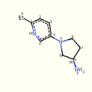 CCc1ccc(N2CC[C@@H](N)C2)cn1